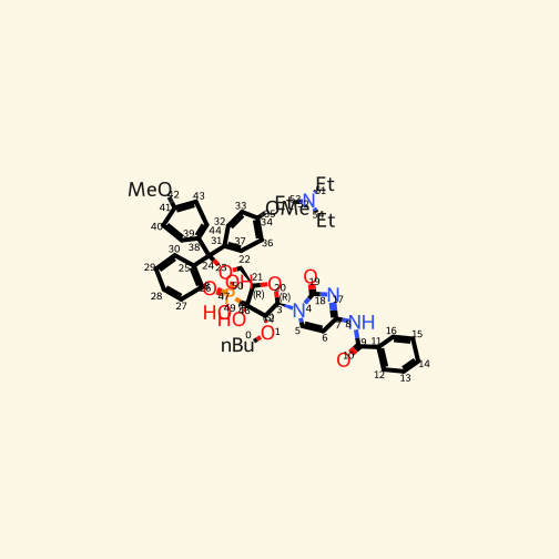 CCCCO[C@H]1[C@H](n2ccc(NC(=O)c3ccccc3)nc2=O)O[C@H](COC(c2ccccc2)(c2ccc(OC)cc2)c2ccc(OC)cc2)[C@]1(O)P(=O)(O)O.CCN(CC)CC